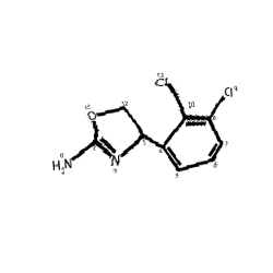 NC1=NC(c2cccc(Cl)c2Cl)CO1